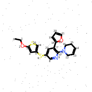 CCOc1cc(Sc2cnc(N3CC=CCC3)c(-c3ccco3)c2)cs1